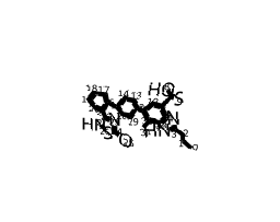 CCCc1nc2c(C(O)=S)cc(-c3ccc(-c4ccccc4-c4nc(=O)s[nH]4)cc3)c(C)c2[nH]1